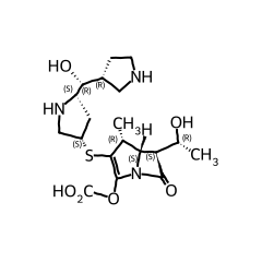 C[C@@H](O)[C@H]1C(=O)N2C(OC(=O)O)=C(S[C@@H]3CN[C@H]([C@H](O)[C@@H]4CCNC4)C3)[C@H](C)[C@H]12